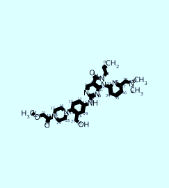 C=CCn1c(=O)c2cnc(Nc3ccc(N4CCN(C(=O)COC)CC4)c(CO)c3)nc2n1-c1cccc(CN(C)C)n1